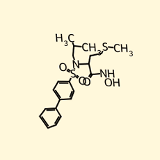 CSCCC(C(=O)NO)N(CC(C)C)S(=O)(=O)c1ccc(-c2ccccc2)cc1